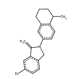 C=C1c2cc(CC)ccc2CN1c1ccc2c(c1)CCCC2C